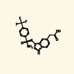 NS(=O)(=Nc1c[nH]c2ccc(CC(=O)O)cc12)c1ccc(C(F)(F)F)cc1